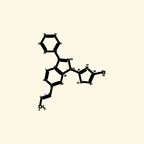 C/C=C/c1ccc2c(-c3ccccc3)nn(-c3nc(CC)cs3)c2c1